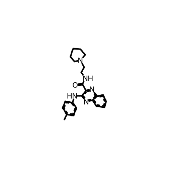 Cc1ccc(Nc2nc3ccccc3nc2C(=O)NCCN2CCCCC2)cc1